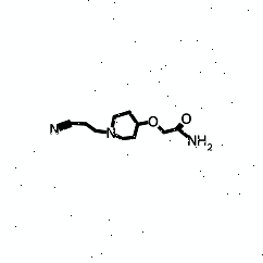 N#CCCN1CCC(OCC(N)=O)CC1